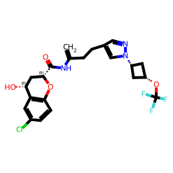 C=C(CCc1cnn([C@H]2C[C@@H](OC(F)(F)F)C2)c1)NC(=O)[C@H]1C[C@@H](O)c2cc(Cl)ccc2O1